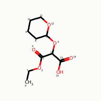 CCOC(=O)C(OC1CCCCO1)C(=O)O